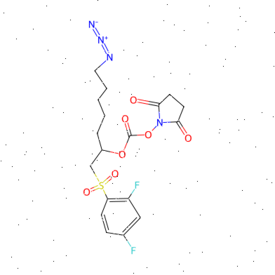 [N-]=[N+]=NCCCCCC(CS(=O)(=O)c1ccc(F)cc1F)OC(=O)ON1C(=O)CCC1=O